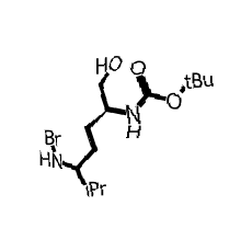 CC(C)C(CC[C@@H](CO)NC(=O)OC(C)(C)C)NBr